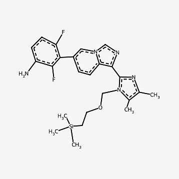 Cc1nc(-c2ncn3cc(-c4c(F)ccc(N)c4F)ccc23)n(COCC[Si](C)(C)C)c1C